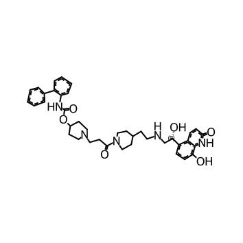 O=C(Nc1ccccc1-c1ccccc1)OC1CCN(CCC(=O)N2CCC(CCNC[C@H](O)c3ccc(O)c4[nH]c(=O)ccc34)CC2)CC1